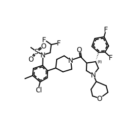 Cc1cc(N(CC(F)F)S(C)(=O)=O)c(C2CCN(C(=O)C3CN(C4CCOCC4)C[C@H]3c3ccc(F)cc3F)CC2)cc1Cl